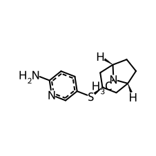 CN1[C@@H]2CC[C@H]1C[C@H](Sc1ccc(N)nc1)C2